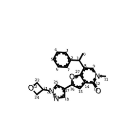 CC(c1ccccc1)c1cn(C)c(=O)c2cc(-c3cnn(C4COC4)c3)oc12